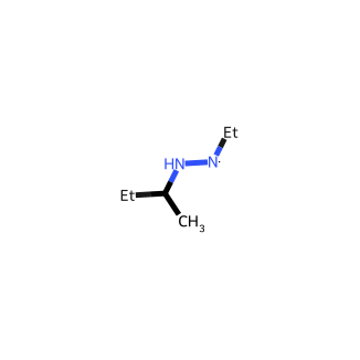 CC[N]NC(C)CC